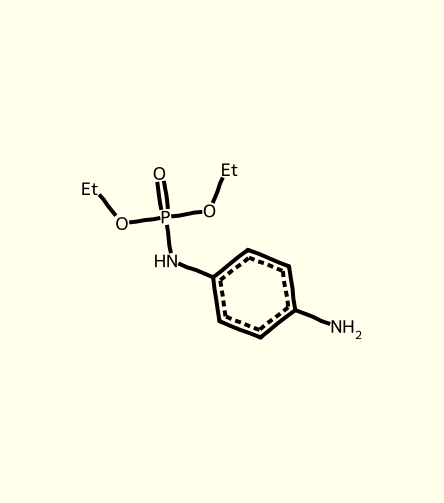 CCOP(=O)(Nc1ccc(N)cc1)OCC